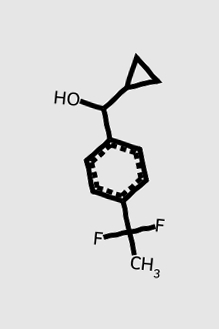 CC(F)(F)c1ccc(C(O)C2CC2)cc1